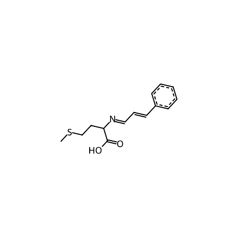 CSCCC(N=C/C=C/c1ccccc1)C(=O)O